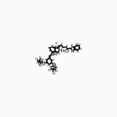 C[C@H](CCCC(O)c1nc2ccccc2s1)[C@H]1CC[C@H]2/C(=C/C=C3CC(O[Si](C)(C)C(C)(C)C)CC(O[Si](C)(C)C(C)(C)C)C3)CCC[C@]12C